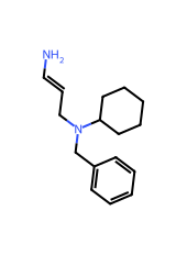 NC=CCN(Cc1ccccc1)C1CCCCC1